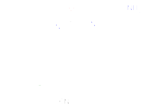 Cc1ccc(-c2c(C3=CC(F)=C(C#N)C(C)C3)cc(N3CCC(N)CC3)c(=O)n2C)cc1